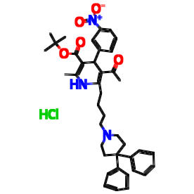 CC(=O)C1=C(CCCCN2CCC(c3ccccc3)(c3ccccc3)CC2)NC(C)=C(C(=O)OC(C)(C)C)C1c1cccc([N+](=O)[O-])c1.Cl